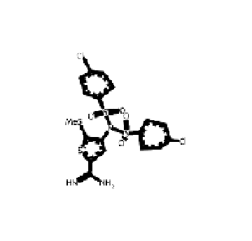 CSc1sc(C(=N)N)cc1N(S(=O)(=O)c1ccc(Cl)cc1)S(=O)(=O)c1ccc(Cl)cc1